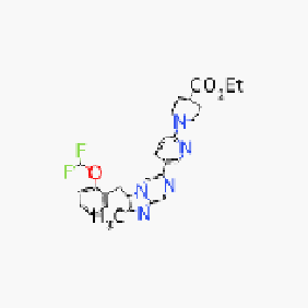 CCOC(=O)C1CCN(c2ccc(-c3cn4c(Cc5ccccc5OC(F)F)c(C)nc4cn3)cn2)CC1